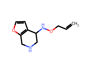 C=CCONC1CNCc2occc21